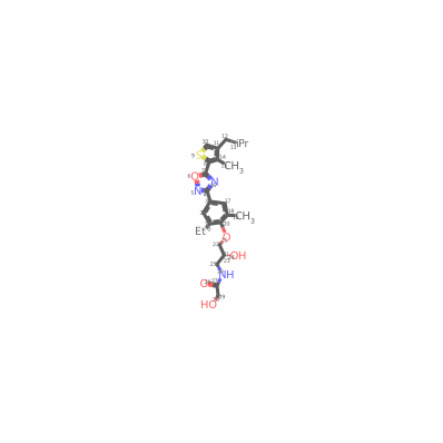 CCc1cc(-c2noc(-c3scc(CC(C)C)c3C)n2)cc(C)c1OC[C@H](O)CNC(=O)CO